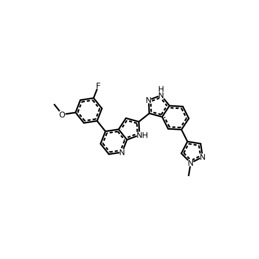 COc1cc(F)cc(-c2ccnc3[nH]c(-c4n[nH]c5ccc(-c6cnn(C)c6)cc45)cc23)c1